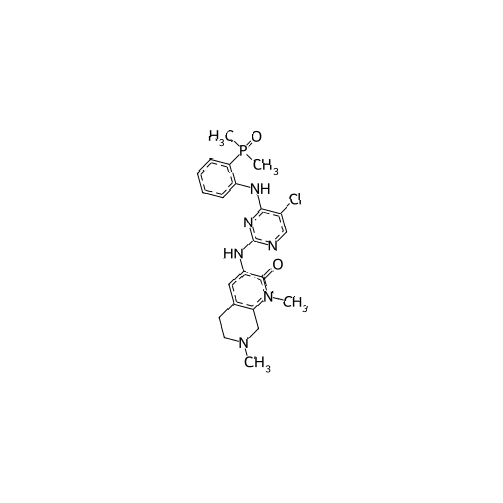 CN1CCc2cc(Nc3ncc(Cl)c(Nc4ccccc4P(C)(C)=O)n3)c(=O)n(C)c2C1